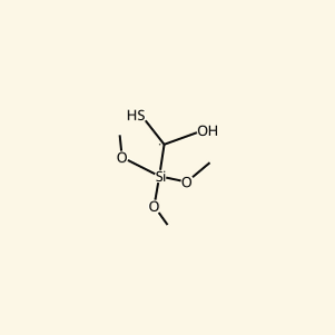 CO[Si](OC)(OC)[C](O)S